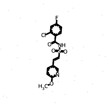 COc1ccc(/C=C/S(=O)(=O)NC(=O)c2ccc(F)cc2Cl)cn1